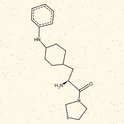 N[C@@H](CC1CCC(Nc2ccccc2)CC1)C(=O)N1CCSC1